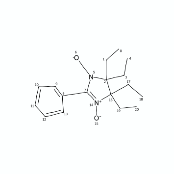 CCC1(CC)N([O])C(c2ccccc2)=[N+]([O-])C1(CC)CC